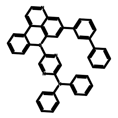 c1ccc(-c2cccc(-c3cc4c5c(ccnc5c3)-c3ccccc3B4c3cnc(N(c4ccccc4)c4ccccc4)cn3)c2)cc1